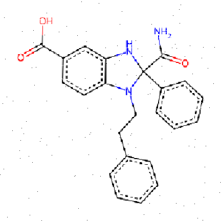 NC(=O)C1(c2ccccc2)Nc2cc(C(=O)O)ccc2N1CCc1ccccc1